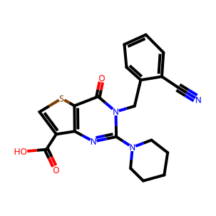 N#Cc1ccccc1Cn1c(N2CCCCC2)nc2c(C(=O)O)csc2c1=O